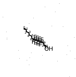 C=CCCCCCC(F)(F)C(F)(F)C(F)(F)C(F)(F)CCCO